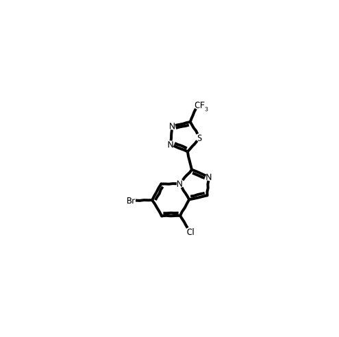 FC(F)(F)c1nnc(-c2ncc3c(Cl)cc(Br)cn23)s1